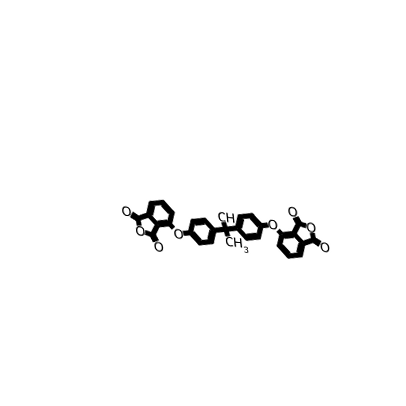 CC(C)(c1ccc(Oc2cccc3c2C(=O)OC3=O)cc1)c1ccc(Oc2cccc3c2C(=O)OC3=O)cc1